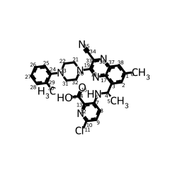 Cc1cc([C@@H](C)Nc2ccc(Cl)nc2C(=O)O)c2nc(N3CCN(c4ccccc4C)CC3)c(C#N)nc2c1